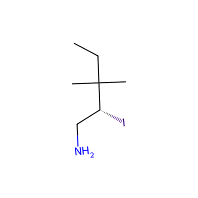 CCC(C)(C)[C@H](I)CN